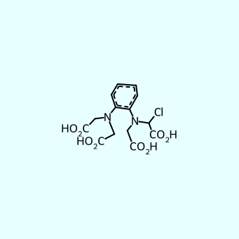 O=C(O)CN(CC(=O)O)c1ccccc1N(CC(=O)O)C(Cl)C(=O)O